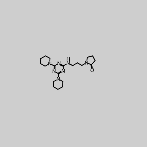 O=C1CCCN1CCCNc1nc(N2CCCCC2)nc(N2CCCCC2)n1